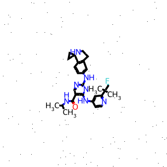 CC(C)NC(=O)c1cnc(Nc2ccc3c(c2)CCNC32CC2)nc1Nc1ccnc(C(C)(C)CF)c1